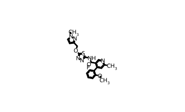 COc1cccc(F)c1-c1cc(C)ncc1C(=O)Nc1nnc(OCc2ccn(C)n2)s1